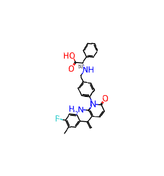 C=C(c1ccc(F)c(C)c1)c1ccc(=O)n(-c2ccc(CN[C@H](C(=O)O)c3ccccc3)cc2)c1N